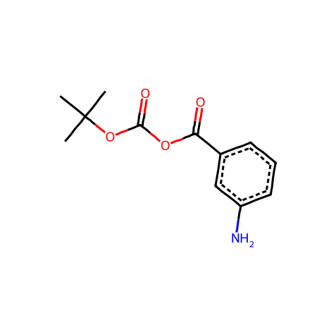 CC(C)(C)OC(=O)OC(=O)c1cccc(N)c1